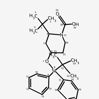 CC(C)(C)C1CC(O[Si](c2ccccc2)(c2ccccc2)C(C)(C)C)CCN1C(=O)O